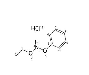 CCONOc1ccccc1.Cl